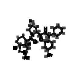 CC(=O)N1C[C@H]2CCC[C@@H](C(=O)N3C[C@H](F)C[C@H]3C(=O)N[C@@H](c3ccccc3)c3ccc(C(C)C)cc3)[C@H]2C1